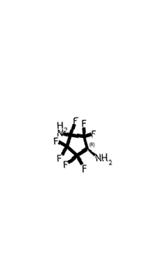 N[C@@H]1C(F)(F)C(N)(F)C(F)(F)C1(F)F